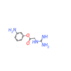 N=C(N)NCC(=O)Oc1cccc(N)c1